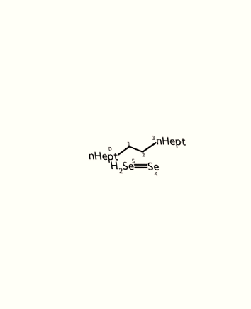 CCCCCCCCCCCCCCCC.[Se]=[SeH2]